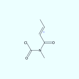 C/C=C/C(=O)N(C)C(=O)Cl